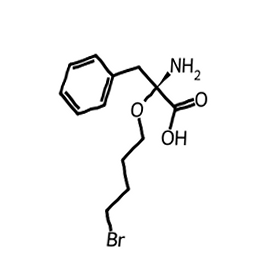 N[C@](Cc1ccccc1)(OCCCCBr)C(=O)O